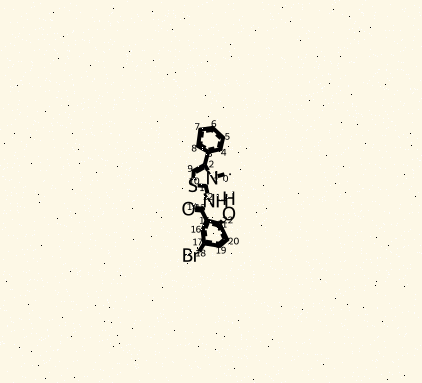 [CH2]N1C(c2ccccc2)=CSC1NC(=O)c1cc(Br)ccc1O